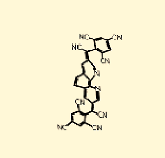 N#C/C(c1c(C#N)cc(C#N)cc1C#N)=c1\cnc2c(ccc3c/c(=C(\C#N)c4c(C#N)cc(C#N)cc4C#N)cnc32)c1